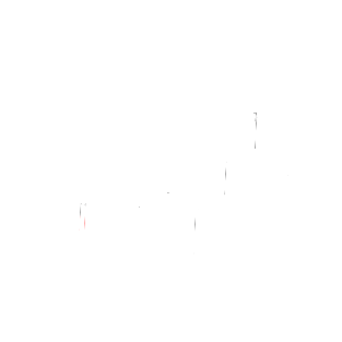 C=C(C)C(Cl)CCC(C)=CCOC(C)=O